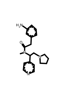 CN(C(=O)Cc1cccc(N)c1)C(CN1CCCC1)c1ccncc1